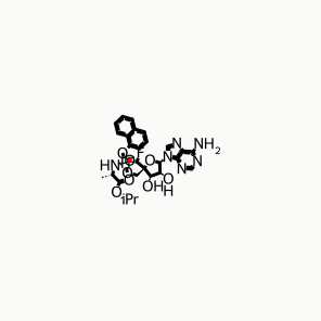 CC(C)OC(=O)[C@H](C)NP(=O)(OC[C@@]1(C(F)F)O[C@@H](n2cnc3c(N)ncnc32)[C@H](O)[C@@H]1O)Oc1cccc2ccccc12